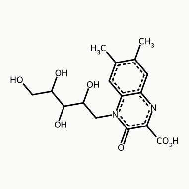 Cc1cc2nc(C(=O)O)c(=O)n(CC(O)C(O)C(O)CO)c2cc1C